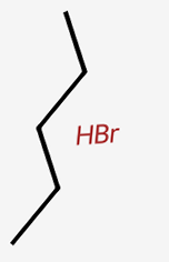 Br.CCCCC